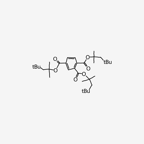 CC(C)(C)CC(C)(C)OC(=O)c1ccc(C(=O)OC(C)(C)CC(C)(C)C)c(C(=O)OC(C)(C)CC(C)(C)C)c1